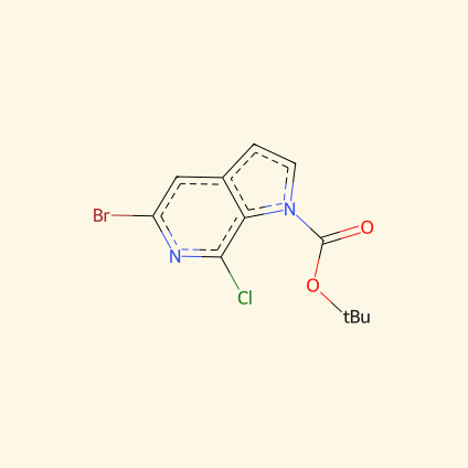 CC(C)(C)OC(=O)n1ccc2cc(Br)nc(Cl)c21